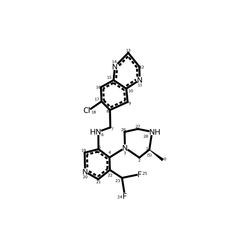 C[C@H]1CN(c2c(NCc3cc4nccnc4cc3Cl)cncc2C(F)F)CCN1